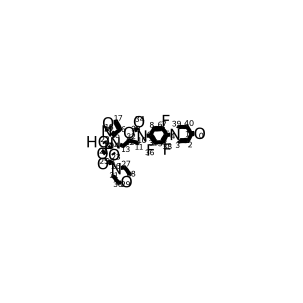 O=C1C=CN(c2c(F)cc(N3CC(CN(c4ccon4)P(=O)(O)OC(=O)N4CCOCC4)OC3=O)c(F)c2F)CC1